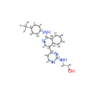 CC(C)(C)c1ccc(Nc2ncc(-c3ccnc(NCCO)n3)c3ccccc23)cc1